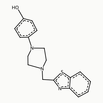 Oc1ccc(N2CCN(Cc3nc4ccccc4s3)CC2)cc1